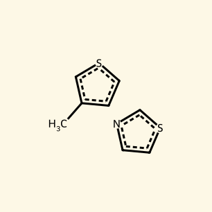 Cc1ccsc1.c1cscn1